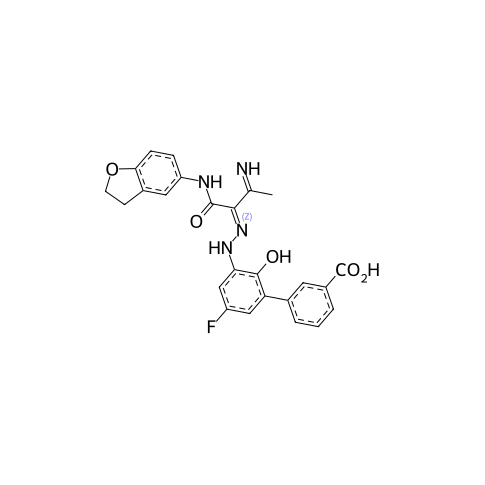 CC(=N)/C(=N/Nc1cc(F)cc(-c2cccc(C(=O)O)c2)c1O)C(=O)Nc1ccc2c(c1)CCO2